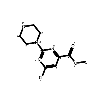 COC(=O)c1cc(Cl)nc(N2CCOCC2)n1